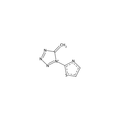 C=C1N=NN=[N+]1c1nccs1